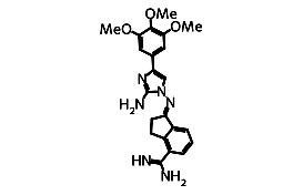 COc1cc(-c2cn(/N=C3\CCc4c(C(=N)N)cccc43)c(N)n2)cc(OC)c1OC